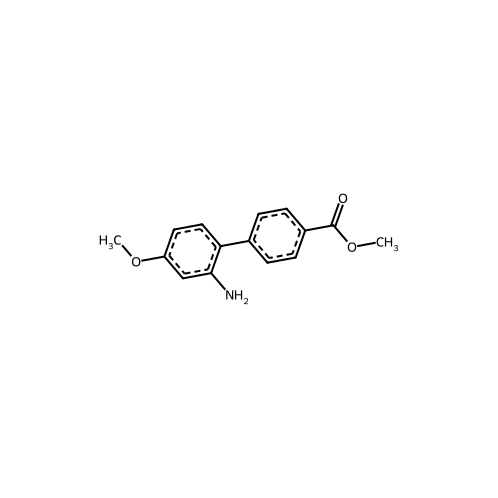 COC(=O)c1ccc(-c2ccc(OC)cc2N)cc1